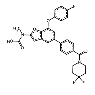 CN(C(=O)O)c1cc2cc(-c3ccc(C(=O)N4CCC(F)(F)CC4)cc3)cc(Oc3ccc(F)cc3)c2o1